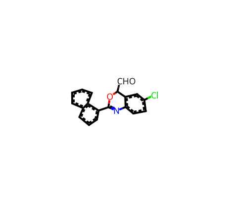 O=CC1OC(c2cccc3ccccc23)=Nc2ccc(Cl)cc21